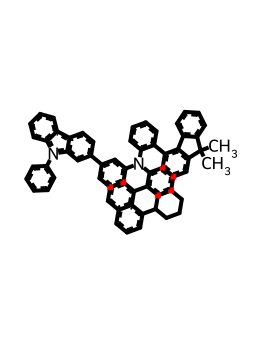 CC1(C)c2ccccc2-c2c(-c3ccccc3N(c3cccc(-c4ccc5c6ccccc6n(-c6ccccc6)c5c4)c3)c3ccccc3-c3cccc4cccc(C5CCCCC5)c34)cccc21